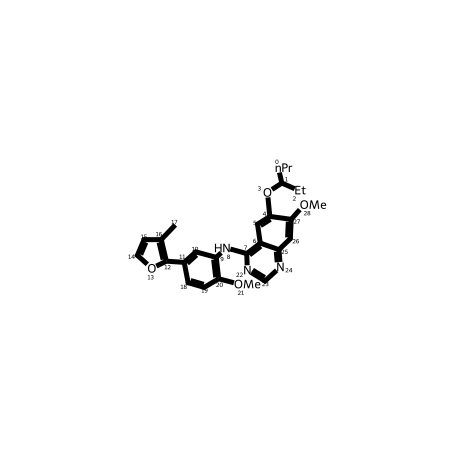 CCCC(CC)Oc1cc2c(Nc3cc(-c4occc4C)ccc3OC)ncnc2cc1OC